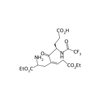 CCOC(=O)CC=C(CC(N)C(=O)OCC)C(=O)[C@@H](CCC(=O)O)NC(=O)C(F)(F)F